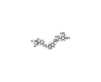 NC(=O)N(OC=O)c1cccc(COC[C@@H]2COc3ccc(CCNC[C@@H](O)c4ccc(O)c(CO)c4)cc3O2)c1